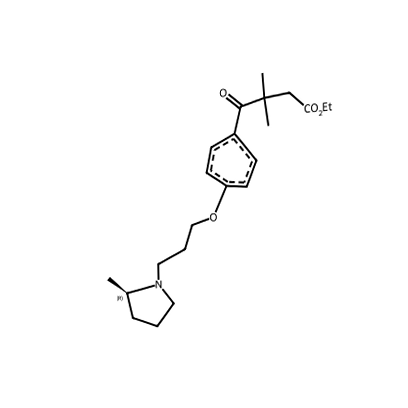 CCOC(=O)CC(C)(C)C(=O)c1ccc(OCCCN2CCC[C@H]2C)cc1